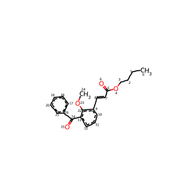 CCCCOC(=O)C=Cc1cccc(C(=O)c2ccccc2)c1OC